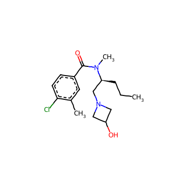 CCC[C@@H](CN1CC(O)C1)N(C)C(=O)c1ccc(Cl)c(C)c1